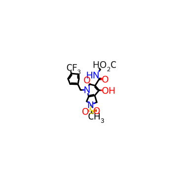 CS(=O)(=O)N1Cc2c(O)c(C(=O)NCC(=O)O)c(=O)n(Cc3ccc(C(F)(F)F)cc3)c2C1